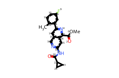 COC(=O)c1nc(-c2cc(F)ccc2C)cc2cnc(NC(=O)C3CC3)cc12